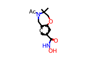 CC(=O)N1Cc2ccc(C(=O)NO)cc2OCC1(C)C